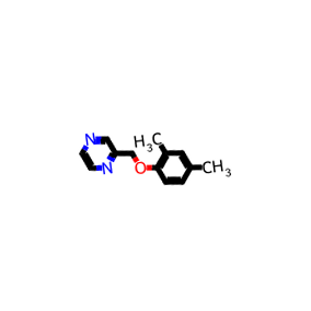 Cc1ccc(OCc2cnccn2)c(C)c1